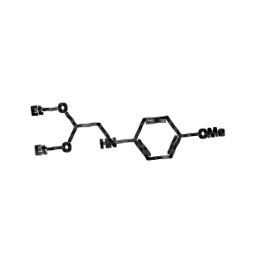 CCOC(CNc1ccc(OC)cc1)OCC